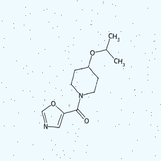 CC(C)OC1CCN(C(=O)c2cnco2)CC1